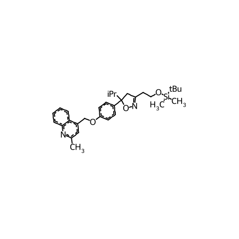 Cc1cc(COc2ccc(C3(C(C)C)CC(CCO[Si](C)(C)C(C)(C)C)=NO3)cc2)c2ccccc2n1